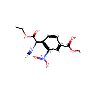 [C-]#[N+]C(C(=O)OCC)c1ccc(C(=O)OC)cc1[N+](=O)[O-]